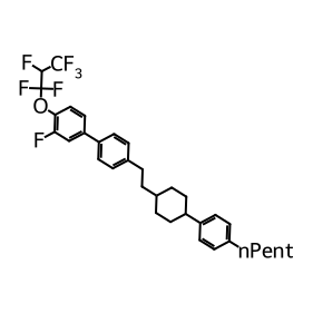 CCCCCc1ccc(C2CCC(CCc3ccc(-c4ccc(OC(F)(F)C(F)C(F)(F)F)c(F)c4)cc3)CC2)cc1